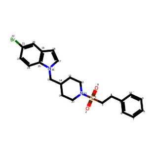 O=S(=O)(CCc1ccccc1)N1CCC(Cn2ccc3cc(Br)ccc32)CC1